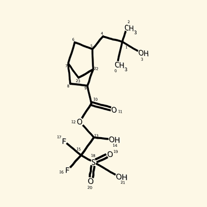 CC(C)(O)CC1CC2CC(C(=O)OC(O)C(F)(F)S(=O)(=O)O)C1C2